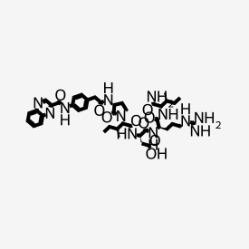 CC[C@H](C)[C@H](NC(=O)[C@@H](CCCNC(=N)N)NC(=O)[C@H](CC(=O)O)NC(=O)[C@H]([C@@H](C)CC)N1CC[C@@H](NC(=O)Cc2ccc(NC(=O)c3cnc4ccccc4n3)cc2)C1=O)C(N)=O